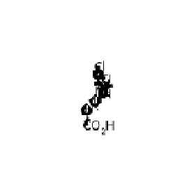 Cc1nn(C(C)c2ccc(Cl)cc2Cl)c2nc(N3CC[C@@H](N4CCC[C@@H](CCC(=O)O)C4)[C@@H](C)C3)cnc12